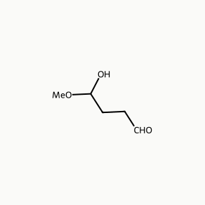 COC(O)CCC=O